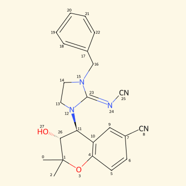 CC1(C)Oc2ccc(C#N)cc2[C@H](N2CCN(Cc3ccccc3)C2=NC#N)[C@H]1O